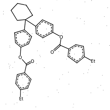 CCc1ccc(C(=O)Oc2ccc(C3(c4ccc(OC(=O)c5ccc(CC)cc5)cc4)CCCCC3)cc2)cc1